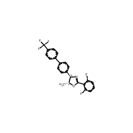 C[C@H]1OC(c2c(F)cccc2F)=N[C@@H]1c1ccc(-c2ccc(C(F)(F)F)cc2)cc1